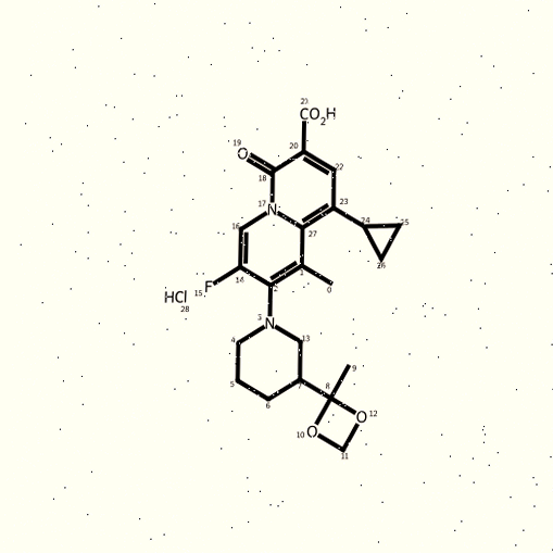 Cc1c(N2CCCC(C3(C)OCO3)C2)c(F)cn2c(=O)c(C(=O)O)cc(C3CC3)c12.Cl